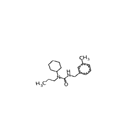 CCCN(C(=O)NCc1cccc(C)c1)C1CCCCC1